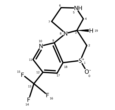 [O-][S+]1C[C@H]2CNCCN2c2ncc(C(F)(F)F)cc21